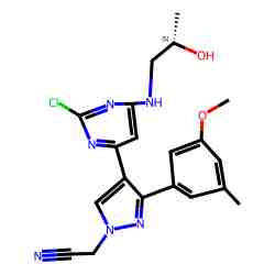 COc1cc(C)cc(-c2nn(CC#N)cc2-c2cc(NC[C@H](C)O)nc(Cl)n2)c1